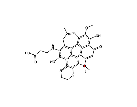 COC1=CC(=O)c2c(O)c(OC)c3c4c2c1c1c(OC)c2c(c5c(O)c(NCCC(=O)O)c(c4c15)CC(C)=C3)=NCCS2